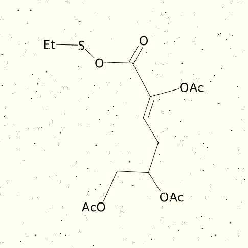 CCSOC(=O)C(=CCC(COC(C)=O)OC(C)=O)OC(C)=O